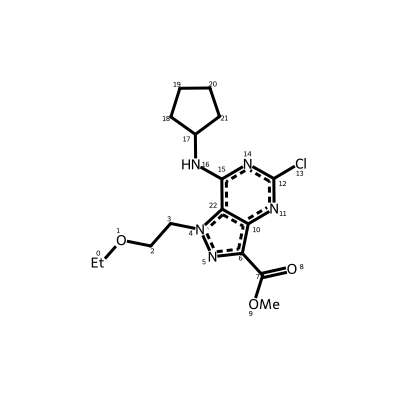 CCOCCn1nc(C(=O)OC)c2nc(Cl)nc(NC3CCCC3)c21